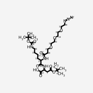 CC(C)(C)OC(=O)CC(NC(=O)C(CCCCNC(=O)OC(C)(C)C)NC(=O)CCOCCOCCOCCN=[N+]=[N-])C(=O)O